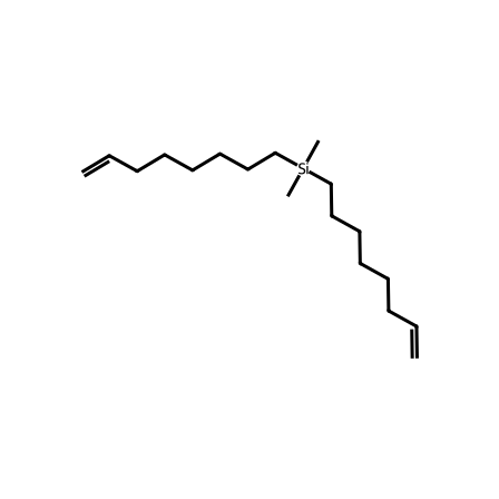 C=CCCCCCC[Si](C)(C)CCCCCCC=C